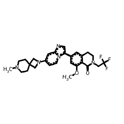 COc1cc(-c2cnc3cc(N4CC5(CCN(C)CC5)C4)ccn23)cc2c1C(=O)N(CC(F)(F)F)CC2